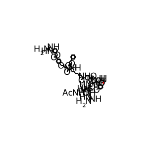 COc1ccc2c3c1O[C@H]1C(OC(=O)N4CCC(C(=O)NCCCCC[C@H](NC(=O)OCc5ccccc5)C(=O)NCCOc5ccc(C(=O)Oc6cccc(NC(=N)N)c6)cc5)CC4CNC(=O)[C@@H](CCCNC(=N)N)NC(O)CNC(C)=O)=CC[C@H]4[C@@H]5CC5(C2)C[C@]314